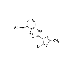 COc1cccc(NC(=O)c2cc(C)sc2Br)c1O